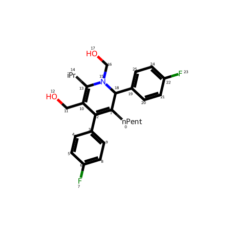 CCCCCC1=C(c2ccc(F)cc2)C(CO)=C(C(C)C)N(CO)C1c1ccc(F)cc1